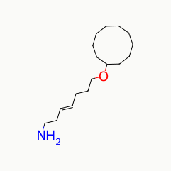 NCC/C=C/CCCOC1CCCCCCCCC1